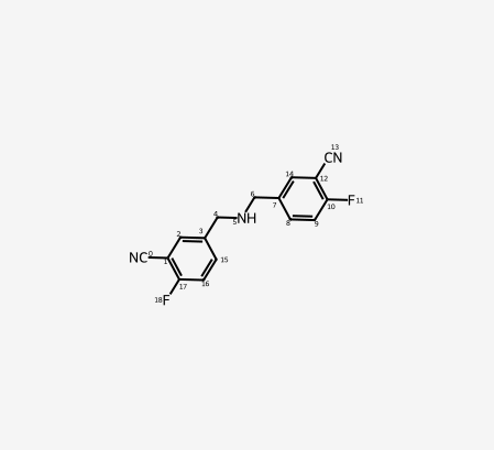 N#Cc1cc(CNCc2ccc(F)c(C#N)c2)ccc1F